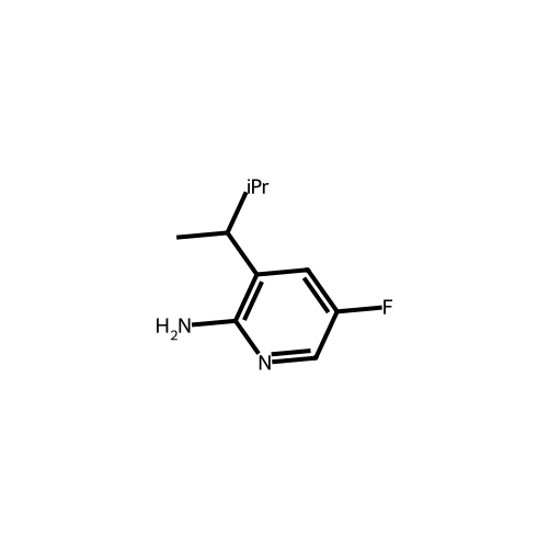 CC(C)C(C)c1cc(F)cnc1N